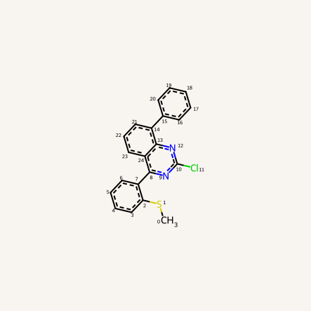 CSc1ccccc1-c1nc(Cl)nc2c(-c3ccccc3)cccc12